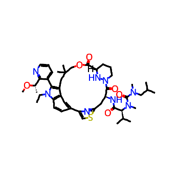 CCn1c(-c2cccnc2[C@H](C)OC)c2c3cc(ccc31)-c1csc(n1)C[C@H](NC(=O)[C@H](C(C)C)N(C)C(=O)N(C)CC(C)C)C(=O)N1CCC[C@H](N1)C(=O)OCC(C)(C)C2